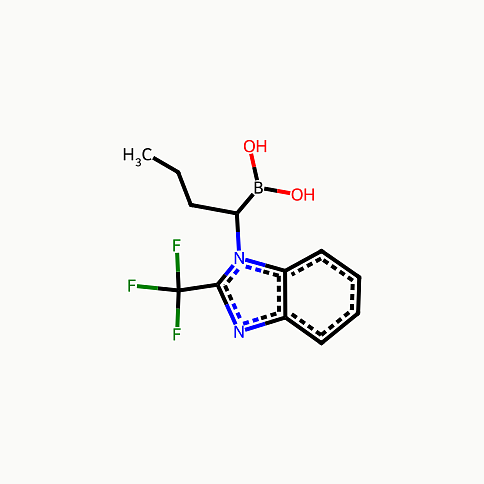 CCCC(B(O)O)n1c(C(F)(F)F)nc2ccccc21